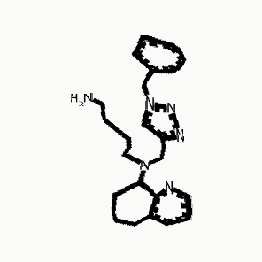 NCCCCN(Cc1cn(Cc2ccccc2)nn1)C1CCCc2cccnc21